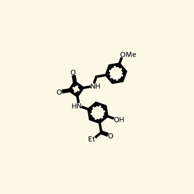 CCC(=O)c1cc(Nc2c(NCc3cccc(OC)c3)c(=O)c2=O)ccc1O